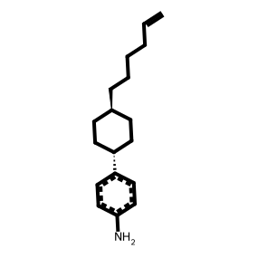 C=CCCCC[C@H]1CC[C@H](c2ccc(N)cc2)CC1